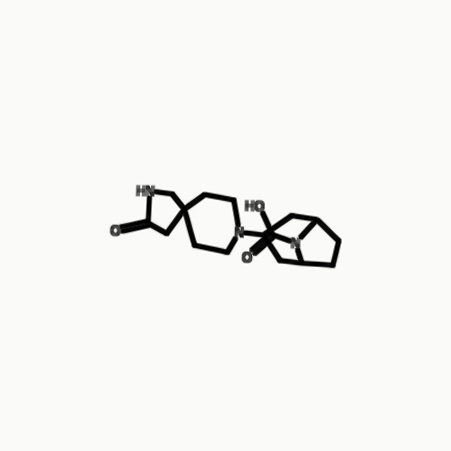 O=C1CC2(CCN(C3CC4CCC(C3)N4C(=O)O)CC2)CN1